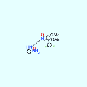 COc1cc2c(c(-c3cc(F)cc(F)c3)c1OC)CN(CCCCCC(=O)Nc1ccccc1N)C2=O